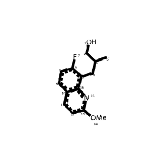 [CH2]C(CO)Cc1c(F)ccc2ccc(OC)nc12